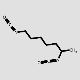 CC(CCCCCN=C=O)N=C=O